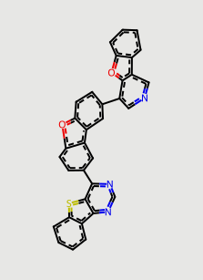 c1ccc2c(c1)oc1c(-c3ccc4oc5ccc(-c6ncnc7c6sc6ccccc67)cc5c4c3)cncc12